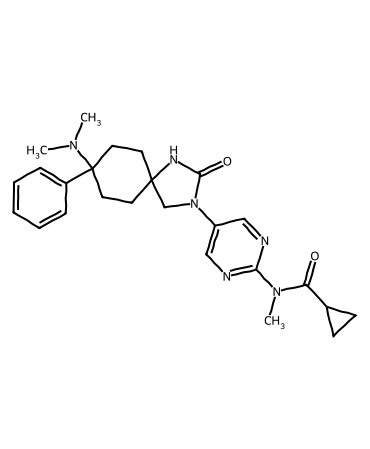 CN(C(=O)C1CC1)c1ncc(N2CC3(CCC(c4ccccc4)(N(C)C)CC3)NC2=O)cn1